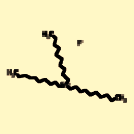 CCCCCCCCC[CH2][Sn+]([CH2]CCCCCCCCC)[CH2]CCCCCCCCC.[F-]